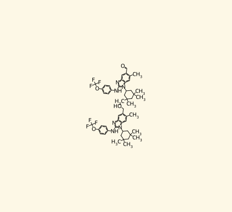 Cc1cc2c(cc1C=O)nc(Nc1ccc(OC(F)(F)F)cc1)n2C1CC(C)(C)CC(C)(C)C1.Cc1cc2c(cc1CO)nc(Nc1ccc(OC(F)(F)F)cc1)n2C1CC(C)(C)CC(C)(C)C1